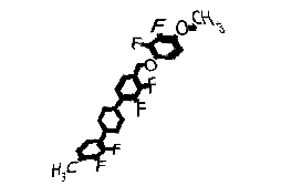 CCOc1ccc(OCc2ccc(C3CCC(c4ccc(C)c(F)c4F)CC3)c(F)c2F)c(F)c1F